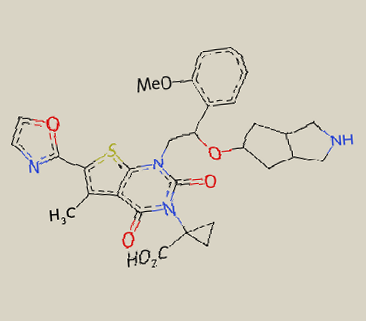 COc1ccccc1C(Cn1c(=O)n(C2(C(=O)O)CC2)c(=O)c2c(C)c(-c3ncco3)sc21)OC1CC2CNCC2C1